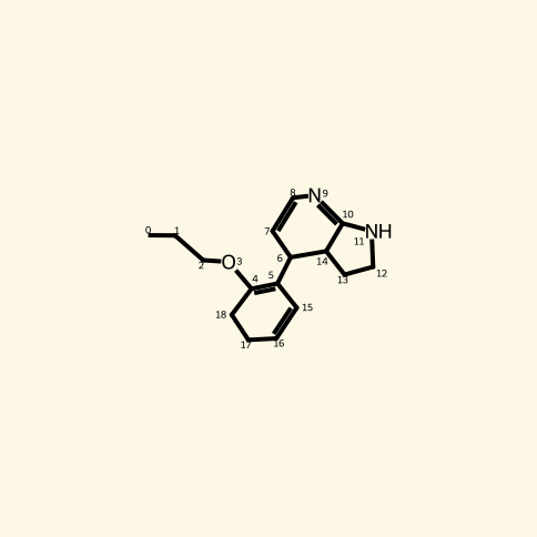 CCCOC1=C(C2C=CN=C3NCCC32)C=CCC1